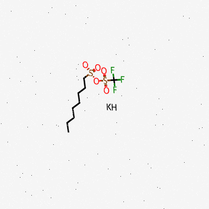 CCCCCCCCS(=O)(=O)OS(=O)(=O)C(F)(F)F.[KH]